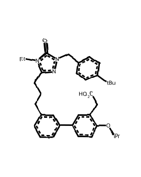 CCn1c(CCCc2cccc(-c3ccc(OC(C)C)c(CC(=O)O)c3)c2)nn(Cc2ccc(C(C)(C)C)cc2)c1=O